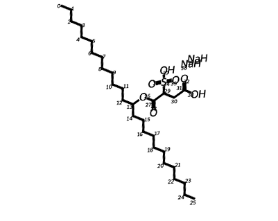 CCCCCCCCCCCCCC(CCCCCCCCCCCC)OC(=O)C(CC(=O)O)S(=O)(=O)O.[NaH].[NaH]